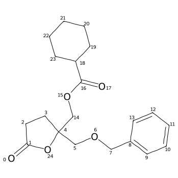 O=C1CCC(COCc2ccccc2)(COC(=O)C2CCCCC2)O1